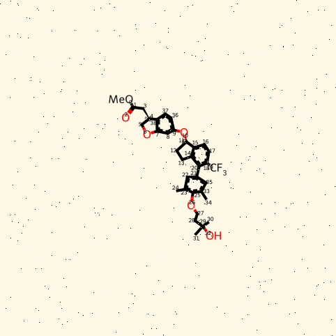 COC(=O)C[C@@H]1COc2cc(O[C@@H]3CCc4c3ccc(C(F)(F)F)c4-c3cc(C)c(OCCC(C)(C)O)c(C)c3)ccc21